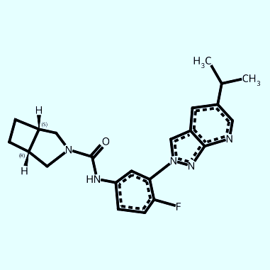 CC(C)c1cnc2nn(-c3cc(NC(=O)N4C[C@H]5CC[C@H]5C4)ccc3F)cc2c1